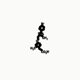 Cc1cc(OCCc2nc(-c3ccc(Br)cc3)sc2C)ccc1CCC(=O)O